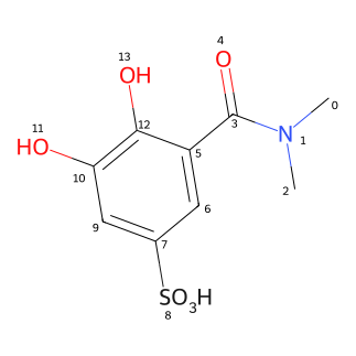 CN(C)C(=O)c1cc(S(=O)(=O)O)cc(O)c1O